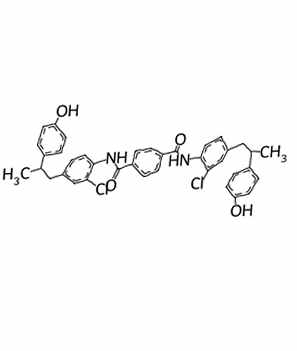 CC(Cc1ccc(NC(=O)c2ccc(C(=O)Nc3ccc(CC(C)c4ccc(O)cc4)cc3Cl)cc2)c(Cl)c1)c1ccc(O)cc1